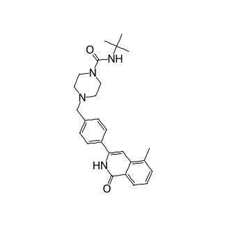 Cc1cccc2c(=O)[nH]c(-c3ccc(CN4CCN(C(=O)NC(C)(C)C)CC4)cc3)cc12